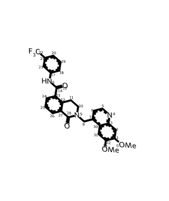 COc1cc2nccc(CN3CCc4c(C(=O)Nc5cccc(C(F)(F)F)c5)cccc4C3=O)c2cc1OC